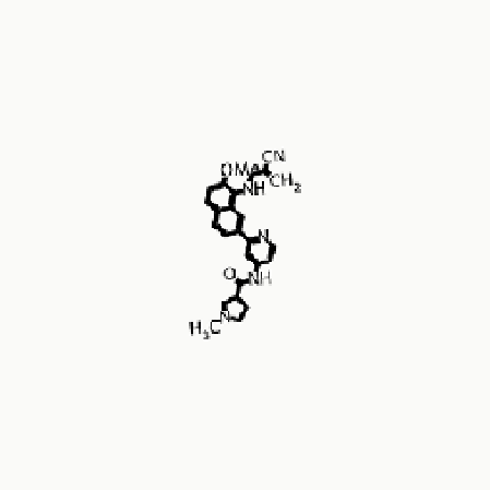 C=C(C#N)CNc1c(OC)ccc2ccc(-c3cc(NC(=O)C4CCN(C)C4)ccn3)cc12